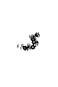 Cc1ccc(NC(=O)c2cc(C(F)(F)F)ccn2)cc1C1=Cc2cnc(Nc3cnoc3)nc2N2CCN=C12